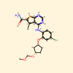 COCO[C@H]1CC[C@H](Oc2cc(F)ccc2Nc2ncnc3sc(C(N)=O)c(C)c23)C1